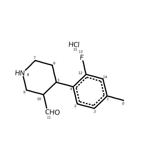 Cc1ccc(C2CCNCC2C=O)c(F)c1.Cl